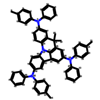 Cc1ccc(N(c2ccccc2)c2ccc3c(c2)C(C)(C)c2cc(N(c4ccccc4)c4ccc(C)cc4)cc4c5cc(N(c6ccccc6)c6ccc(C)cc6)ccc5n-3c24)cc1